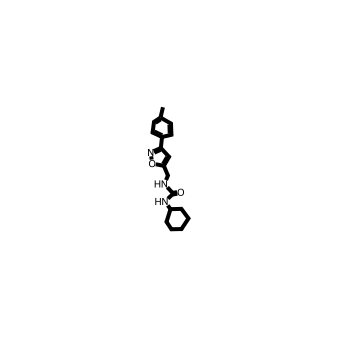 Cc1ccc(-c2cc(CNC(=O)NC3CCCCC3)on2)cc1